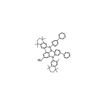 Cc1cc2c(cc1N1c3cc(-c4ccccc4)ccc3B3c4c(cc(C(C)(C)C)cc41)-c1cc4c(cc1N3c1ccc(-c3ccccc3)cc1)C(C)(C)CCC4(C)C)C(C)(C)CCC2(C)C